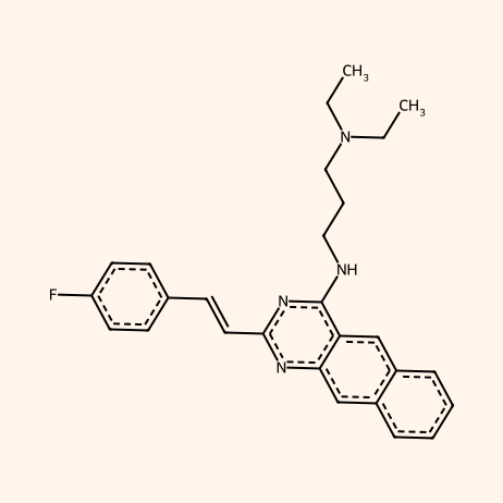 CCN(CC)CCCNc1nc(C=Cc2ccc(F)cc2)nc2cc3ccccc3cc12